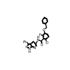 CC(C)c1n[nH]c2ncc(NC(=O)c3c(Cl)ccc(OCc4ccccc4)c3F)cc12